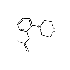 O=C(Cl)Cc1ccccc1N1CCOCC1